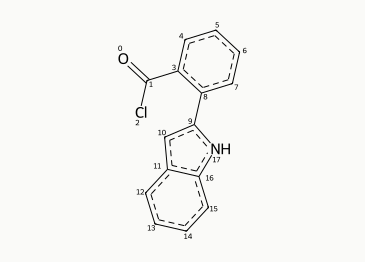 O=C(Cl)c1ccccc1-c1cc2ccccc2[nH]1